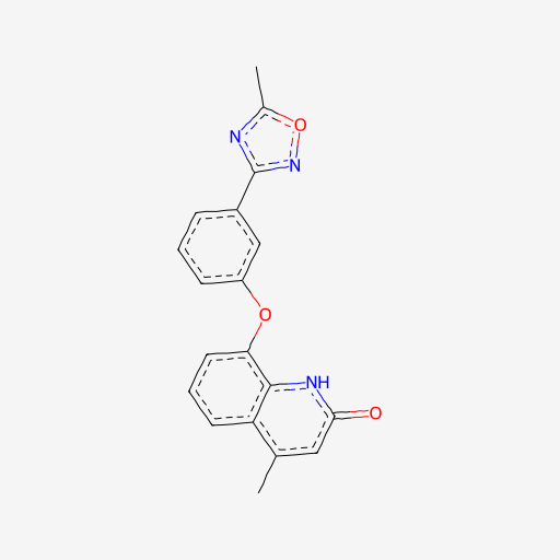 Cc1nc(-c2cccc(Oc3cccc4c(C)cc(=O)[nH]c34)c2)no1